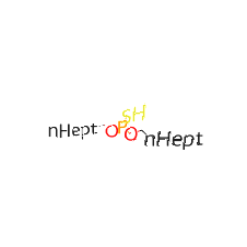 CCCCCCCCOP(S)OCCCCCCCC